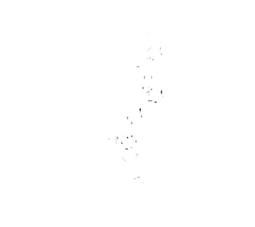 COC(=O)Cc1ccc2c(c1)nc(CN1CC=C(c3cccc(OCc4ccc(Cl)cc4F)n3)CC1)n2C[C@@H]1CCO1